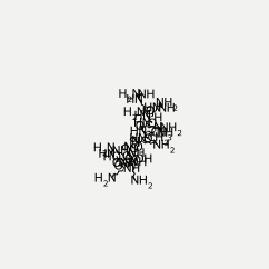 CC(C)C[C@H](NC(=O)[C@H](CCCNC(=N)N)NC(=O)[C@H](CCCNC(=N)N)NC(=O)[C@@H](N)CCCNC(=N)N)C(=O)N[C@@H](CCCCN)C(=O)N1CCC[C@H]1C(=O)N1CCC[C@H]1C(=O)N[C@@H](CO)C(=O)N[C@@H](CCCCN)C(=O)N[C@@H](CCCCN)C(=O)N[C@@H](CCCNC(=N)N)C(=O)O